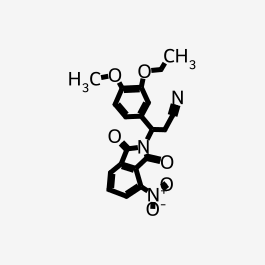 CCOc1cc(C(CC#N)N2C(=O)c3cccc([N+](=O)[O-])c3C2=O)ccc1OC